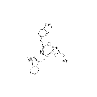 CCCSc1nnc([C@H](Cc2c[nH]c3ccccc23)NC(=O)Cc2ccc(C(F)(F)F)cc2)o1